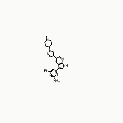 CCc1cc(-c2c[nH]c3ncc(-c4cnn(C5CCN(C)CC5)c4)cc23)nc(N)n1